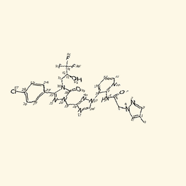 Cc1cnn(CC(=O)Nc2ncccc2-n2cnc(Cn3nc(-c4ccc(Cl)cc4)n(C[C@H](O)C(F)(F)F)c3=O)n2)c1